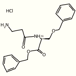 Cl.NCCC(=O)N[C@@H](COCc1ccccc1)C(=O)OCc1ccccc1